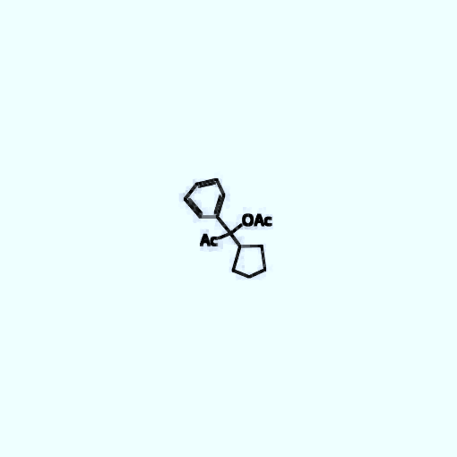 CC(=O)OC(C(C)=O)(c1ccccc1)C1CCCC1